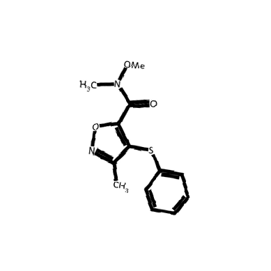 CON(C)C(=O)c1onc(C)c1Sc1ccccc1